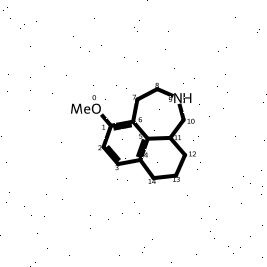 COc1ccc2c3c1CCNCC3CCC2